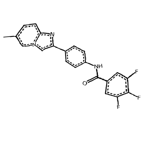 Cc1ccc2nc(-c3ccc(NC(=O)c4cc(F)c(F)c(F)c4)cc3)cn2c1